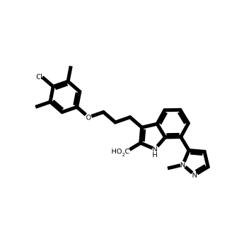 Cc1cc(OCCCc2c(C(=O)O)[nH]c3c(-c4ccnn4C)cccc23)cc(C)c1Cl